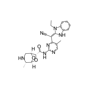 CCN1/C(=C(\C#N)c2nc(NC(=O)[C@@H]3O[C@@H]4O[C@H]3CN[C@H]4C)ncc2C)Nc2ccccc21